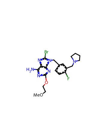 COCCOc1nc(N)c2nc(Br)n(Cc3ccc(F)c(CN4CCCC4)c3)c2n1